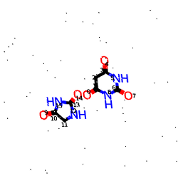 O=C1CC(=O)NC(=O)N1.O=C1CNC(=O)N1